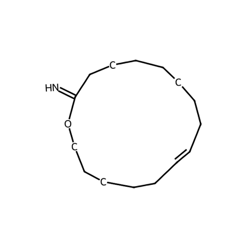 N=C1CCCCCCC/C=C/CCCCCO1